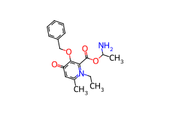 CCn1c(C)cc(=O)c(OCc2ccccc2)c1C(=O)OC(C)N